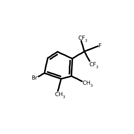 Cc1c(Br)ccc(C(F)(C(F)(F)F)C(F)(F)F)c1C